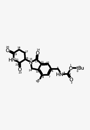 CC(C)(C)OC(=O)NCc1cc(F)c2c(c1)C(=O)N(C1CCC(=O)NC1=O)C2